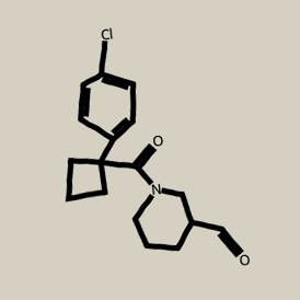 O=CC1CCCN(C(=O)C2(c3ccc(Cl)cc3)CCC2)C1